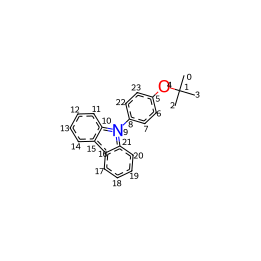 CC(C)(C)Oc1ccc(-n2c3ccccc3c3ccccc32)cc1